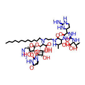 CCCCCCCCCCCCN(CCCNC(=O)C(NC(=O)C(NC(=O)NC(C(=O)O)C(C)C)C1CCNC(=N)N1)C(O)C(C)C)C(C(=O)O)C(O[C@H]1O[C@H](CN)[C@H](O)[C@H]1OC)[C@H]1O[C@@H](n2ccc(=O)[nH]c2=O)[C@H](O)[C@@H]1O